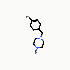 CC(C)C1=CCC(CN2CCN(C(C)C)CC2)CC1